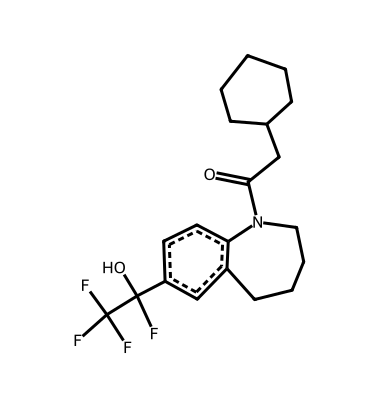 O=C(CC1CCCCC1)N1CCCCc2cc(C(O)(F)C(F)(F)F)ccc21